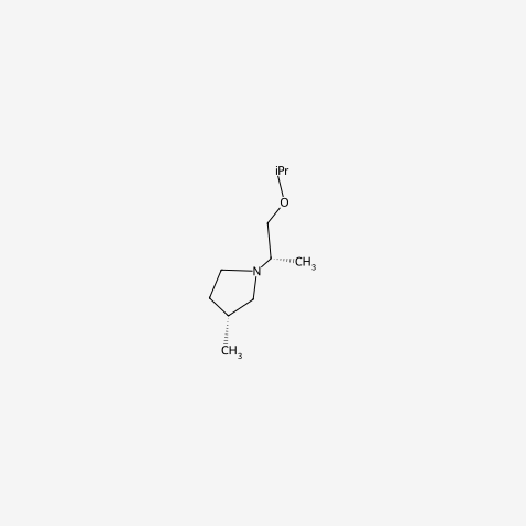 CC(C)OC[C@H](C)N1CC[C@@H](C)C1